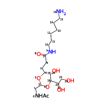 CC(=O)NCC(OCCCC(=O)NCCCCCCN)OC(CO)C(O)CO